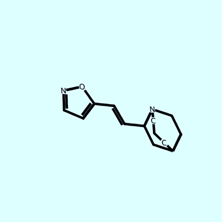 C(=CC1CC2CCCN1CC2)c1ccno1